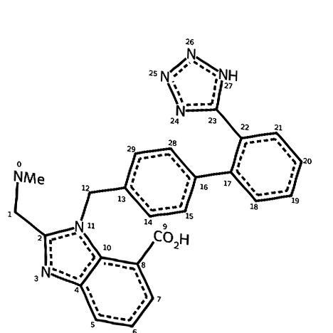 CNCc1nc2cccc(C(=O)O)c2n1Cc1ccc(-c2ccccc2-c2nnn[nH]2)cc1